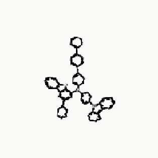 C1=CCCC(C2=CC=C(C3=CC=C(N(c4ccc(-n5c6ccccc6c6ccccc65)cc4)c4cc(-c5ccccc5)cc5c4oc4ccccc45)CC3)CC2)=C1